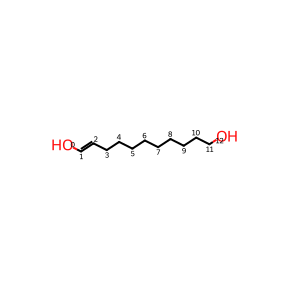 OC=CCCCCCCCCCO